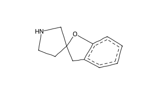 c1ccc2c(c1)CC1(CCNC1)O2